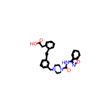 O=C(O)Cc1ccccc1C#Cc1cccc(CN2CCN(C(=O)Nc3noc4ccccc34)CC2)c1